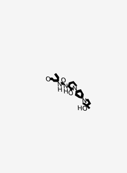 C=C/C(=C\C=O)NC(=O)N[C@@H]1CCCN(c2ccc(N3CCC(C)(O)C3)cc2)C1=O